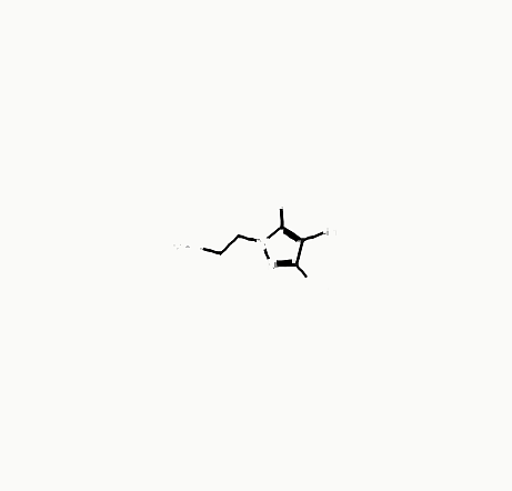 COCCn1nc(C)c(C(C)C)c1C